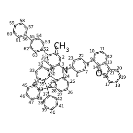 Cc1cc(N(c2ccc(-c3cccc4c3oc3ccccc34)cc2)c2cccc3c2-c2ccccc2C3(c2ccccc2)c2ccccc2)ccc1-c1ccc(-c2ccccc2)cc1